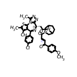 COc1ccc(C(=O)/C=C/C(=O)N2CC3CCC(C2)N(C(=O)C[C@@H]2N=C(c4ccc(Cl)cc4)c4c(sc(C)c4C)-n4c(C)nnc42)C3)cc1